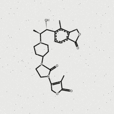 CC1=C(N2CCN(C3CCN([C@@H](C)[C@H](O)c4ccc5c(c4C)COC5=O)CC3)C2=O)COC1=O